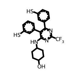 OC1CCC(Nc2nc(C(F)(F)F)nc(-c3cccc(S)c3)c2-c2cccc(S)c2)CC1